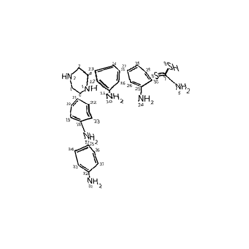 C1CNCCN1.NC(=S)S.Nc1ccccc1.Nc1ccccc1.Nc1ccccc1.Nc1ccccc1